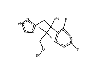 CCOCC(C)(C)C(O)(Cc1nc[nH]n1)c1ccc(F)cc1F